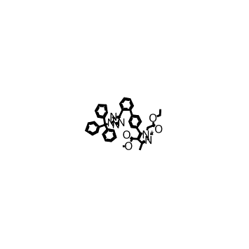 CCOC(=O)C[N+]1(C)N=C(C)C(C(=O)OC)=C1c1ccc(-c2ccccc2-c2nnn(C(c3ccccc3)(c3ccccc3)c3ccccc3)n2)cc1